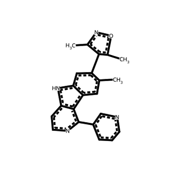 Cc1cc2c(cc1-c1c(C)noc1C)[nH]c1ccnc(-c3cccnc3)c12